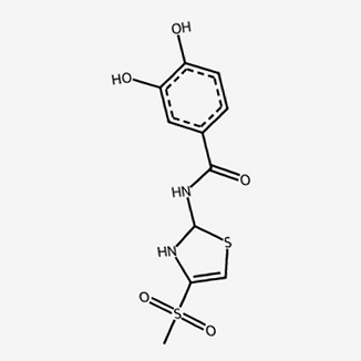 CS(=O)(=O)C1=CSC(NC(=O)c2ccc(O)c(O)c2)N1